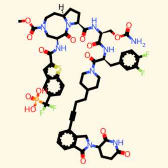 COC(=O)N1CC[C@H]2CC[C@@H](C(=O)N[C@@H](COC(N)=O)C(=O)N[C@@H](Cc3ccc(F)c(F)c3)C(=O)N3CCC(CCC#Cc4cccc5c4CN(C4CCC(=O)NC4=O)C5=O)CC3)N2C(=O)[C@@H](NC(=O)c2cc3cc(C(F)(F)P(=O)(O)O)ccc3s2)C1